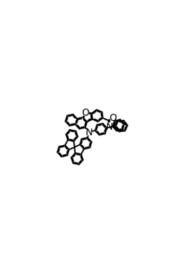 c1ccc(-c2ccc(N(c3ccc4c(c3)C3(c5ccccc5-c5ccccc53)c3ccccc3-4)c3cc4ccccc4c4oc5ccc(-c6nc7ccccc7o6)cc5c34)cc2)cc1